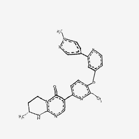 Cc1nc(-c2cnc3n(c2=O)CC[C@@H](C)N3)ccc1Oc1ccnc(-c2cnn(C)c2)c1